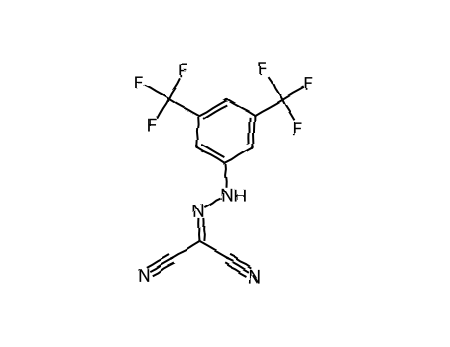 N#CC(C#N)=NNc1cc(C(F)(F)F)cc(C(F)(F)F)c1